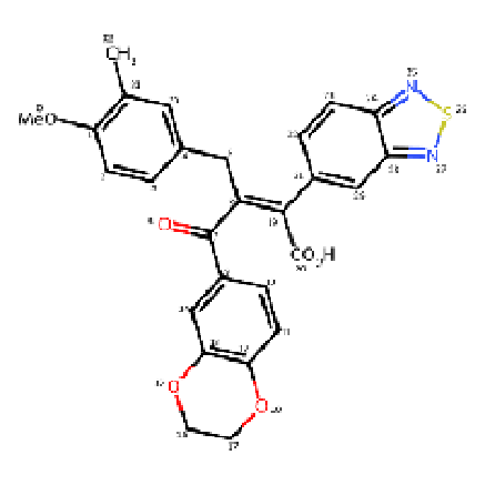 COc1ccc(CC(C(=O)c2ccc3c(c2)OCCO3)=C(C(=O)O)c2ccc3nsnc3c2)cc1C